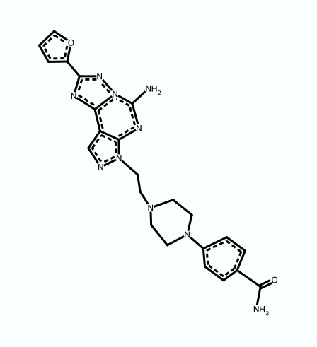 NC(=O)c1ccc(N2CCN(CCn3ncc4c3nc(N)n3nc(-c5ccco5)nc43)CC2)cc1